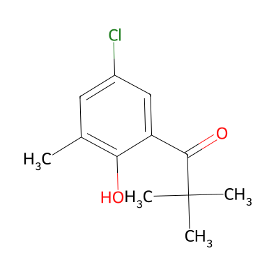 Cc1cc(Cl)cc(C(=O)C(C)(C)C)c1O